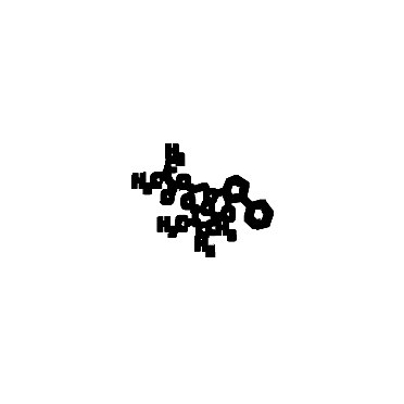 C=C(C)C(=O)OCCOc1cccc(-c2ccccc2)c1OC(C)OC(=O)C(=C)C